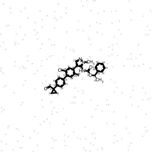 C[C@@H](OC(=O)Nc1c(-c2cc(Cl)c(-c3ccc(C4(C=O)CC4)cc3)cc2F)cnn1C)c1ccccc1